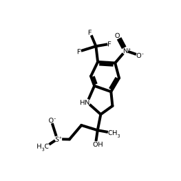 C[S+]([O-])CCC(C)(O)C1Cc2cc([N+](=O)[O-])c(C(F)(F)F)cc2N1